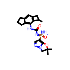 CC1Cc2cc3c(c(NC(=O)N=S(N)(=O)c4cnn5c4OC(C)(C)C5)c21)CCC3